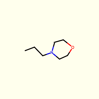 CCCN1[CH]COCC1